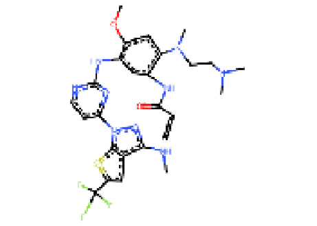 C=CC(=O)Nc1cc(Nc2nccc(-n3nc(NC)c4cc(C(F)(F)F)sc43)n2)c(OC)cc1N(C)CCN(C)C